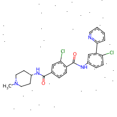 CN1CCC(NC(=O)c2ccc(C(=O)Nc3ccc(Cl)c(-c4ccccn4)c3)c(Cl)c2)CC1